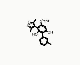 CCCCCc1cc(O)c(-c2cccc(C)c2)c(O)c1-c1c(C)noc1C